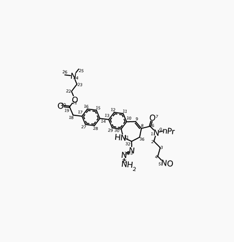 CCCN(CCCN=O)C(=O)C1=Cc2ccc(-c3ccc(CC(=O)OCCN(C)C)cc3)cc2NC(N=NN)C1